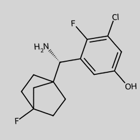 N[C@H](c1cc(O)cc(Cl)c1F)C12CCC(F)(CC1)C2